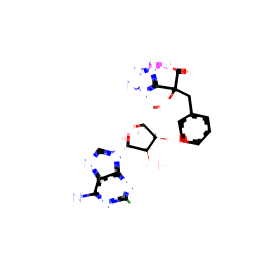 Nc1nc(Cl)nc2c1ncn2[C@@H]1O[C@H](COC(Cc2ccccc2)(C(=O)O)c2nnn[nH]2)[C@@H](O)[C@H]1O